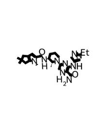 CCn1cc(Nc2nc(N3CCC[C@@H](NC(=O)c4cc5c(n4C)CC(C)(C)C5)[C@H]3C)cnc2C(N)=O)cn1